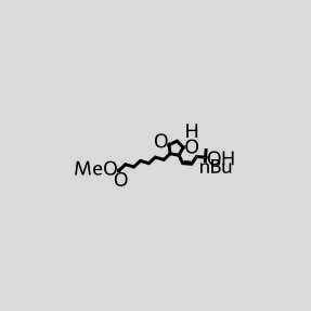 CCCCC(C)(O)C/C=C\C1C(O)CC(=O)C1CCCCCCC(=O)OC